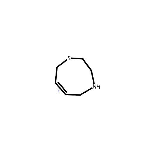 C1=C\CSCCNC/1